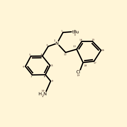 CC(C)(C)CN(Cc1cccc(CN)c1)Cc1ccccc1Cl